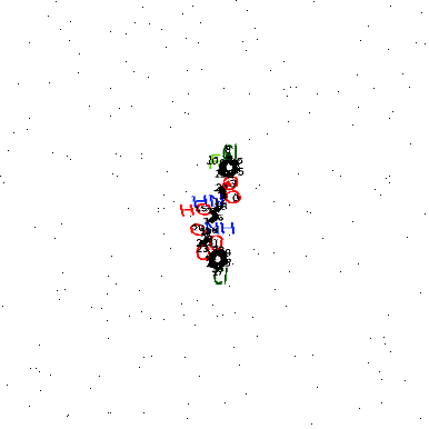 O=C(COc1ccc(Cl)c(F)c1)NC[C@@H](O)CCNC(=O)[C@H]1COc2cc(Cl)ccc2O1